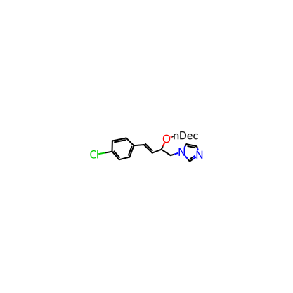 CCCCCCCCCCOC(C=Cc1ccc(Cl)cc1)Cn1ccnc1